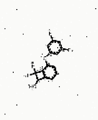 OC1c2cccc(Oc3cc(F)cc(F)c3)c2C1(F)F